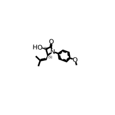 COc1ccc(N2C(=O)[C@H](O)[C@@H]2C=C(C)C)cc1